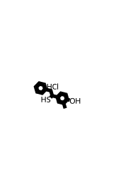 Cc1cc(C(S)Cc2ccccc2)ccc1O.Cl